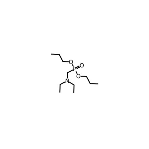 CCCOP(=O)(CN(CC)CC)OCCC